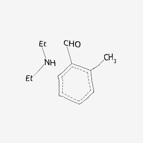 CCNCC.Cc1ccccc1C=O